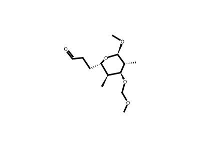 COCO[C@H]1[C@@H](C)[C@H](CCC=O)O[C@@H](OC)[C@@H]1C